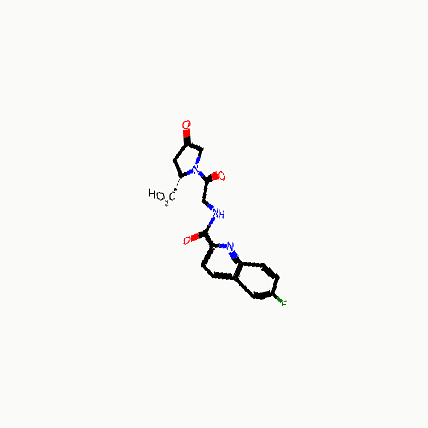 O=C1C[C@@H](C(=O)O)N(C(=O)CNC(=O)c2ccc3cc(F)ccc3n2)C1